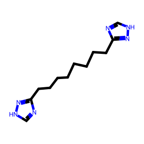 c1nc(CCCCCCCCc2nc[nH]n2)n[nH]1